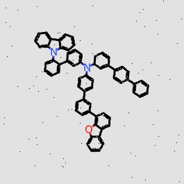 C1=CC(c2ccc(-c3ccccc3)cc2)=CC(N(c2ccc(-c3cccc(-c4cccc5c4oc4ccccc45)c3)cc2)c2cccc(-c3ccccc3-n3c4ccccc4c4ccccc43)c2)C1